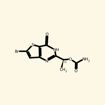 C[C@H](OC(N)=O)c1nc2cc(Br)sc2c(=O)[nH]1